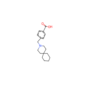 O=C(O)c1ccc(CN2CCC3(CCCCC3)CC2)cc1